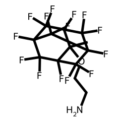 CC1(OCCN)C2(F)C(F)(F)C3(F)C(F)(F)C(F)(C2(F)F)C(F)(F)C1(F)C3(F)F